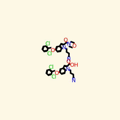 N#CCCCn1c(C(=O)N2CCOCC2)cc2cc(OCc3c(Cl)cccc3Cl)ccc21.N#CCCCn1c(C(=O)O)cc2cc(OCc3c(Cl)cccc3Cl)ccc21